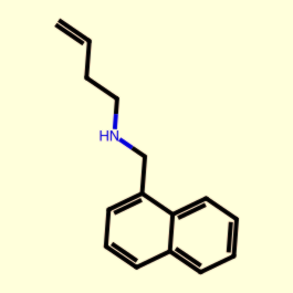 C=CCCNCc1cccc2ccccc12